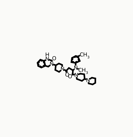 Cc1cccc(N(C)C(CC(=O)N2CCC(N3Cc4ccccc4NC3=O)CC2)C(=O)N2CCC(N3CCCCC3)CC2)c1